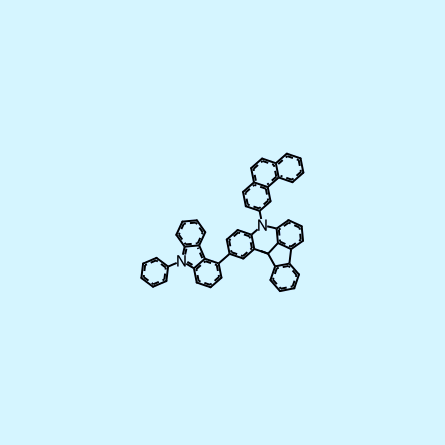 CC12c3ccccc3-c3cccc(c31)N(c1ccc3ccc4ccccc4c3c1)c1ccc(-c3cccc4c3c3ccccc3n4-c3ccccc3)cc12